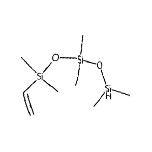 C=C[Si](C)(C)O[Si](C)(C)O[SiH](C)C